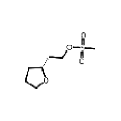 CS(=O)(=O)OCC[C@H]1CCCO1